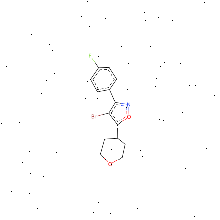 Fc1ccc(-c2noc(C3CCOCC3)c2Br)cc1